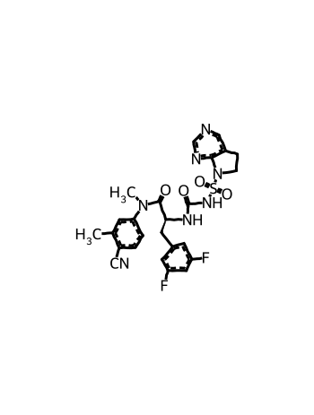 Cc1cc(N(C)C(=O)[C@H](Cc2cc(F)cc(F)c2)NC(=O)NS(=O)(=O)N2CCc3cncnc32)ccc1C#N